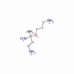 NCCCOC(N)(N)CCN